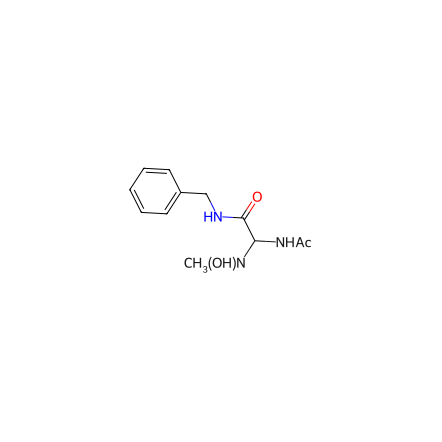 CC(=O)NC(C(=O)NCc1ccccc1)N(C)O